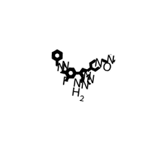 CN(C)C(=O)CN1CCC(c2cc(-c3cc(F)c4cn(Cc5ccccc5)nc4c3)c3c(N)ncnn23)CC1